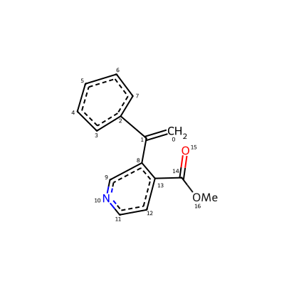 C=C(c1ccccc1)c1cnccc1C(=O)OC